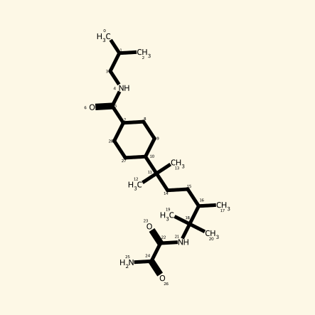 CC(C)CNC(=O)C1CCC(C(C)(C)CCC(C)C(C)(C)NC(=O)C(N)=O)CC1